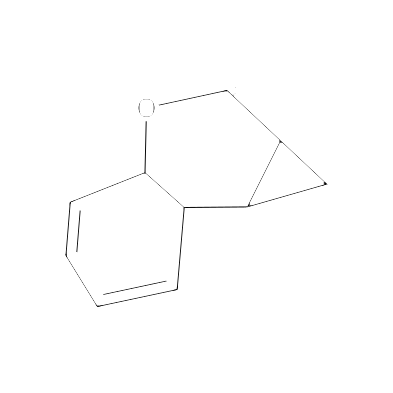 [C]1OC2C=CC=CC2C2CC12